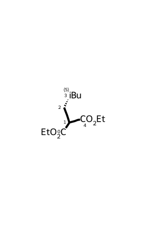 CCOC(=O)C(C[C@@H](C)CC)C(=O)OCC